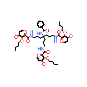 CCCCOc1c(C(=O)NCCCC(CCCNC(=O)c2occc(=O)c2OCCCC)(CCCNC(=O)c2occc(=O)c2OCCCC)NC(=O)c2ccccc2)occc1=O